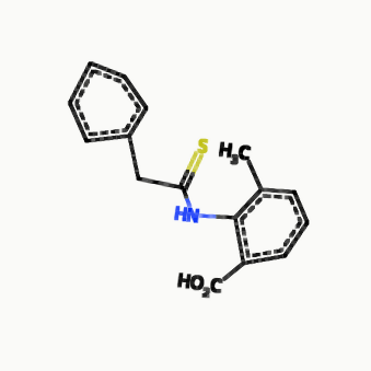 Cc1cccc(C(=O)O)c1NC(=S)Cc1ccccc1